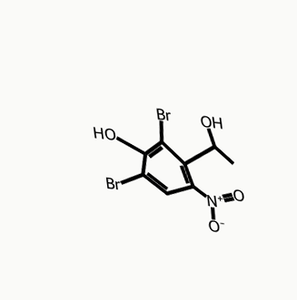 CC(O)c1c([N+](=O)[O-])cc(Br)c(O)c1Br